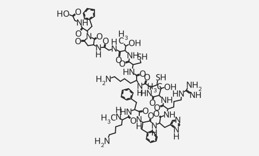 CNC(CCCCN)C(=O)NC(Cc1ccccc1)C(=O)NC(Cc1ccccc1)C(=O)NC(Cc1cnc[nH]1)C(=O)NC(CCCNC(=N)N)C(=O)NC(C(=O)NC(CS)C(=O)NC(CCCCN)C(=O)NC(CS)C(=O)NC(C(=O)NCC(=O)NC1CC(=O)N(C(Cc2ccccc2)C(=O)NCC(=O)O)C1=O)C(C)O)C(C)O